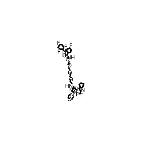 O=C(NOCCOCCOCCOCCNc1nc(N2CCOCC2)nc(-n2c(C(F)F)nc3ccccc32)n1)c1ccc(F)c(F)c1Nc1ccc(F)cc1F